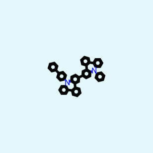 c1ccc(-c2ccc(N3c4ccccc4-c4ccccc4-c4cc(-c5ccc6c(c5)-c5ccccc5-c5ccccc5N6c5ccccc5)ccc43)cc2)cc1